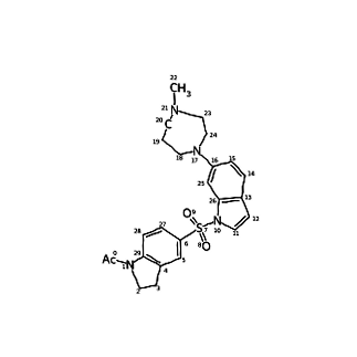 CC(=O)N1CCc2cc(S(=O)(=O)n3ccc4ccc(N5CCCN(C)CC5)cc43)ccc21